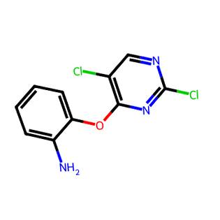 Nc1ccccc1Oc1nc(Cl)ncc1Cl